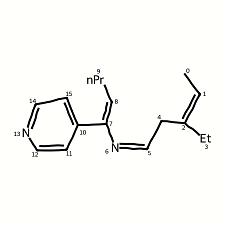 C/C=C(/CC)C/C=N\C(=C\CCC)c1ccncc1